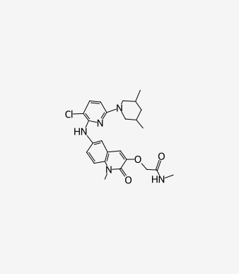 CNC(=O)COc1cc2cc(Nc3nc(N4CC(C)CC(C)C4)ccc3Cl)ccc2n(C)c1=O